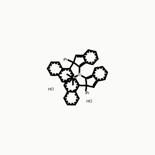 CC(C)C1(c2cccc3ccccc23)C=c2ccccc2=[C]1[Zr]([C]1=c2ccccc2=CC1(c1cccc2ccccc12)C(C)C)[SiH](C)C.Cl.Cl